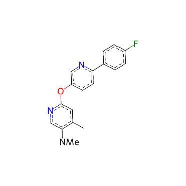 CNc1cnc(Oc2ccc(-c3ccc(F)cc3)nc2)cc1C